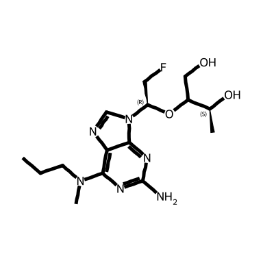 CCCN(C)c1nc(N)nc2c1ncn2[C@@H](CF)OC(CO)[C@H](C)O